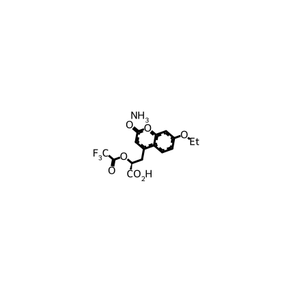 CCOc1ccc2c(C[C@H](OC(=O)C(F)(F)F)C(=O)O)cc(=O)oc2c1.N